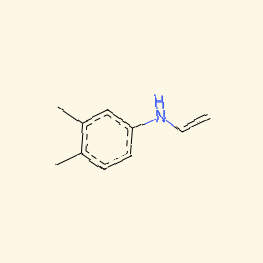 C=CNc1ccc(C)c(C)c1